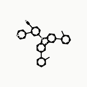 Cc1ccccc1-c1ccc2c(c1)c1cc(-c3ccccc3C)ccc1n2-c1ccc(C#N)c(-c2ccncc2)c1